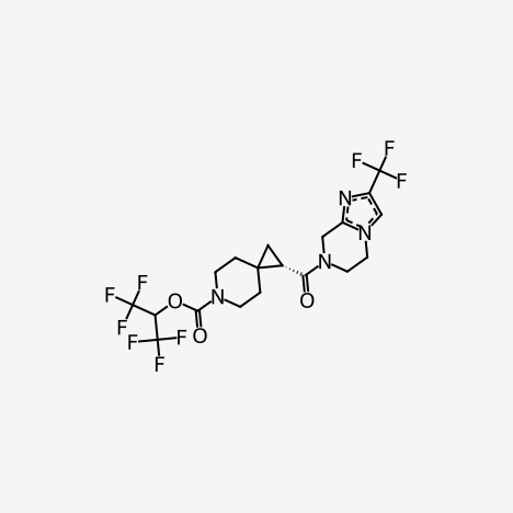 O=C(OC(C(F)(F)F)C(F)(F)F)N1CCC2(CC1)C[C@@H]2C(=O)N1CCn2cc(C(F)(F)F)nc2C1